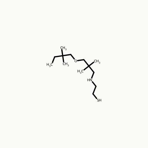 CCC(C)(C)COCC(C)(C)CNCCS